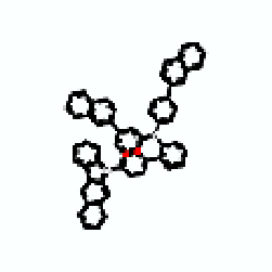 c1cc(-c2ccc3ccccc3c2)cc(N(c2ccc(-c3ccc4ccccc4c3)cc2)c2ccccc2-c2ccc(-n3c4ccccc4c4cc5ccccc5cc43)cc2)c1